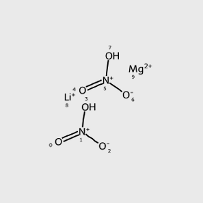 O=[N+]([O-])O.O=[N+]([O-])O.[Li+].[Mg+2]